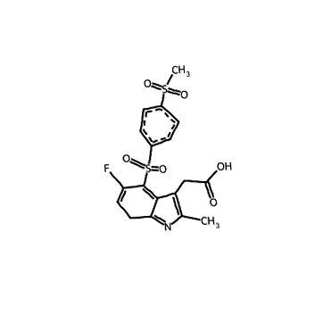 CC1=C(CC(=O)O)C2=C(S(=O)(=O)c3ccc(S(C)(=O)=O)cc3)C(F)=CCC2=N1